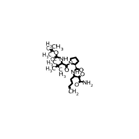 C=CCCC(NC(=O)[C@@H]1CCCN1C(=O)C(NC(=O)OC(C)(C)C)C(C)(C)C)C(=O)C(N)=O